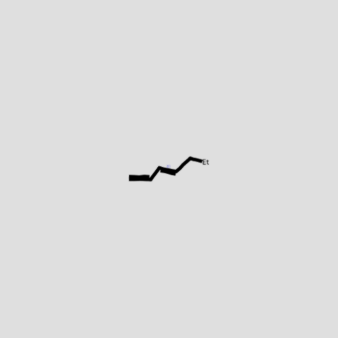 C=C/C=[C]/CCC